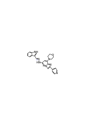 C(=N\Nc1cc(N2CCOCC2)c2nc(-c3ccncc3)cn2n1)/c1c[nH]c2ccccc12